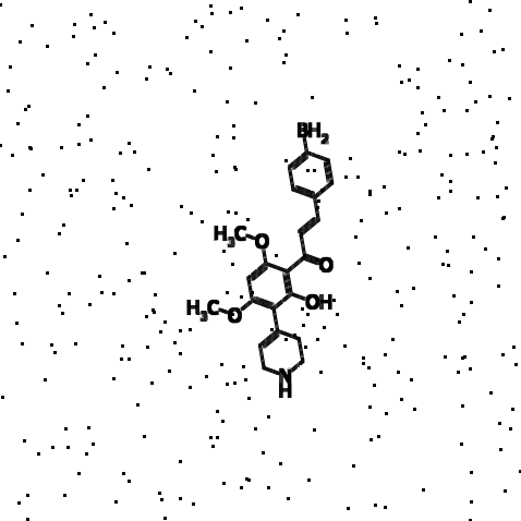 Bc1ccc(/C=C/C(=O)c2c(OC)cc(OC)c(C3=CCNCC3)c2O)cc1